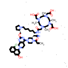 C=CC(=O)N1CCN(c2nc(OC[C@@H]3CCCN3CCCCCCNC(=O)CN3C[C@H](C)N(CC(=O)O)C[C@H](C)N(CC(=O)O)C[C@H](C)N(CC(=O)O)C[C@@H]3C)nc3c2CCN(c2cc(O)cc4cccc(Cl)c24)C3)C[C@@H]1CC#N